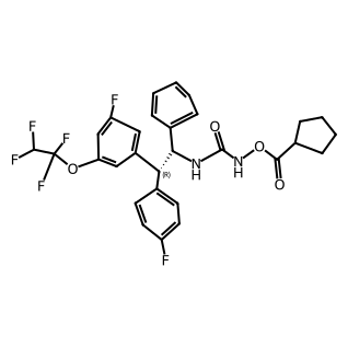 O=C(NOC(=O)C1CCCC1)NC(c1ccccc1)[C@H](c1ccc(F)cc1)c1cc(F)cc(OC(F)(F)C(F)F)c1